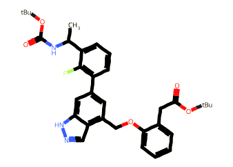 CC(NC(=O)OC(C)(C)C)c1cccc(-c2cc(COc3ccccc3CC(=O)OC(C)(C)C)c3cn[nH]c3c2)c1F